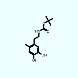 CC(C)(C)OC(=O)NCCc1cc(O)c(O)cc1I